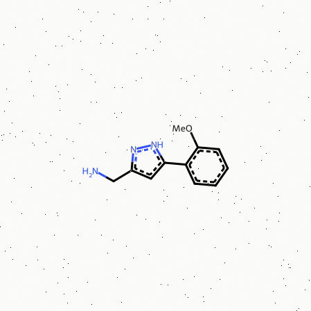 COc1ccccc1-c1cc(CN)n[nH]1